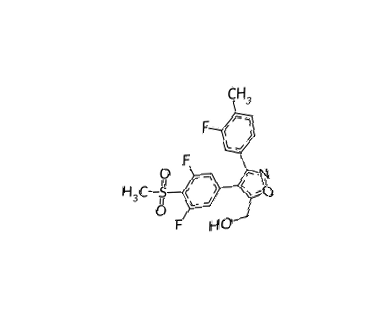 Cc1ccc(-c2noc(CO)c2-c2cc(F)c(S(C)(=O)=O)c(F)c2)cc1F